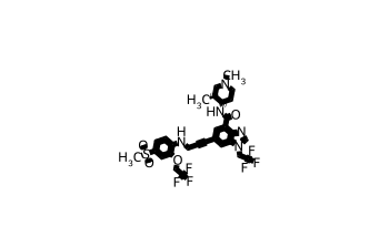 C[C@H]1CN(C)CC[C@@H]1NC(=O)c1cc(C#CCNc2ccc(S(C)(=O)=O)cc2OCC(F)(F)F)cc2c1ncn2CC(F)(F)F